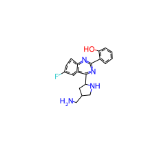 NCC1CNC(c2nc(-c3ccccc3O)nc3ccc(F)cc23)C1